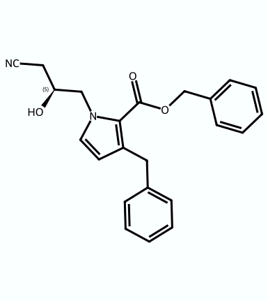 N#CC[C@H](O)Cn1ccc(Cc2ccccc2)c1C(=O)OCc1ccccc1